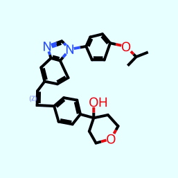 CC(C)Oc1ccc(-n2cnc3cc(/C=C\c4ccc(C5(O)CCOCC5)cc4)ccc32)cc1